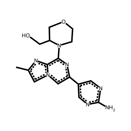 Cc1cn2cc(-c3cnc(N)nc3)nc(N3CCOCC3CO)c2n1